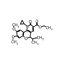 CCOC(=O)c1cc2c(n(C3CC3)c1=O)-c1cc(OC)c(OC)cc1OC2C(C)C